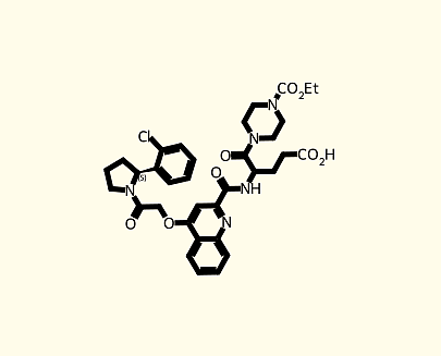 CCOC(=O)N1CCN(C(=O)C(CCC(=O)O)NC(=O)c2cc(OCC(=O)N3CCC[C@H]3c3ccccc3Cl)c3ccccc3n2)CC1